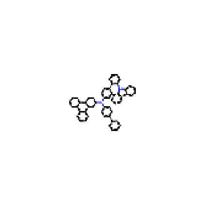 c1ccc(-c2ccc(N(c3ccc(-c4ccccc4-n4c5ccccc5c5ccccc54)cc3)c3ccc4c5ccccc5c5ccccc5c4c3)cc2)cc1